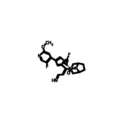 COc1cc(-c2c[nH]c(/C(=C\C=N)N3CC4CCC(C3)N4C(=O)[C@@H]3C[C@H]3F)c2)c(F)cn1